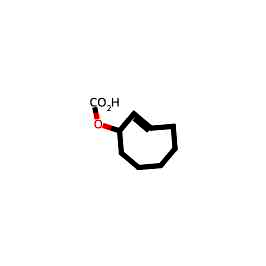 O=C(O)OC1/C=C/CCCCC1